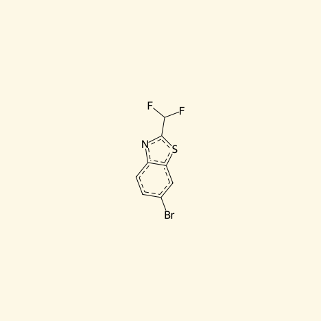 FC(F)c1nc2ccc(Br)cc2s1